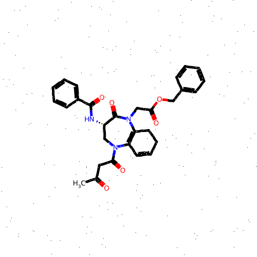 CC(=O)CC(=O)N1C[C@H](NC(=O)c2ccccc2)C(=O)N(CC(=O)OCc2ccccc2)C2=C1C=CCC2